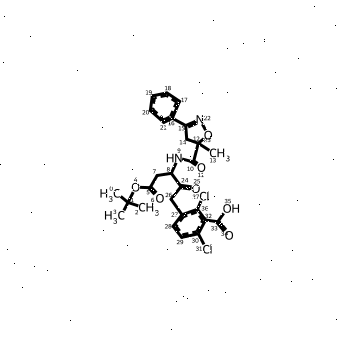 CC(C)(C)OC(=O)CC(NC(=O)C1(C)CC(c2ccccc2)=NO1)C(=O)Cc1ccc(Cl)c(C(=O)O)c1Cl